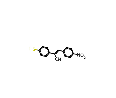 N#C/C(=C\c1ccc([N+](=O)[O-])cc1)c1ccc(S)cc1